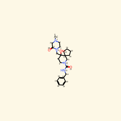 CC(=O)N1CCN(CC2(O)CCN(C(=O)NCc3ccccc3)CC23CCCC3)C(=O)C1